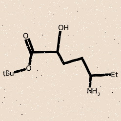 CCC(N)CCC(O)C(=O)OC(C)(C)C